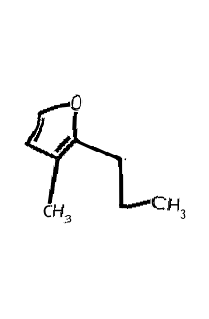 CC[CH]c1occc1C